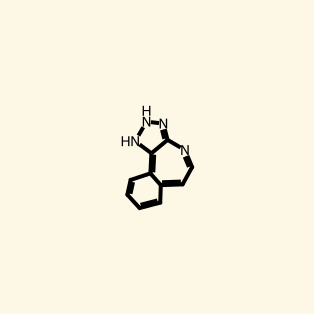 C1=NC2=NNNC2=c2ccccc2=C1